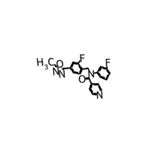 Cc1nnc(-c2ccc(CN(C(=O)c3ccncc3)c3cccc(F)c3)c(F)c2)o1